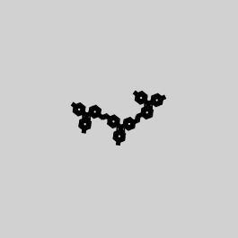 Cc1ccc(N(c2ccc(/C=C/c3cccc(N(c4ccc(C)cc4)c4ccc(C)cc4)c3)cc2)c2ccc(/C=C/c3cccc(N(c4ccc(C)cc4)c4ccc(C)cc4)c3)cc2)cc1